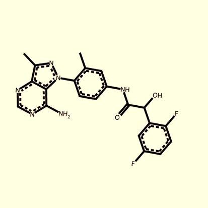 Cc1cc(NC(=O)C(O)c2cc(F)ccc2F)ccc1-n1nc(C)c2ncnc(N)c21